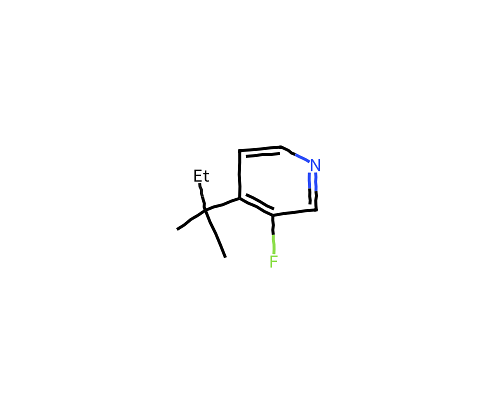 CCC(C)(C)c1ccncc1F